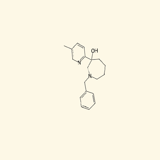 Cc1ccc(C2(O)CCCCN(Cc3ccccc3)C2)nc1